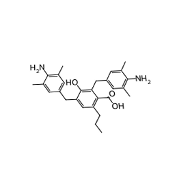 CCCc1cc(Cc2cc(C)c(N)c(C)c2)c(O)c(Cc2cc(C)c(N)c(C)c2)c1C(=O)O